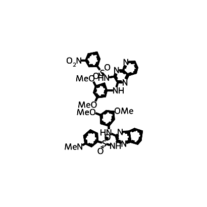 CNc1cccc(S(=O)(=O)Nc2nc3ccccc3nc2Nc2cc(OC)cc(OC)c2)c1.COc1cc(Nc2nc3cccnc3nc2NS(=O)(=O)c2cccc([N+](=O)[O-])c2)cc(OC)c1